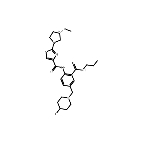 CCCNC(=O)c1cc(CN2CCC(F)CC2)ccc1NC(=O)c1csc(N2CC[C@H](OC)C2)n1